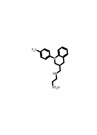 O=S(=O)(O)CCNCC1Cc2ccccc2N(c2ccc(C(F)(F)F)cc2)C1